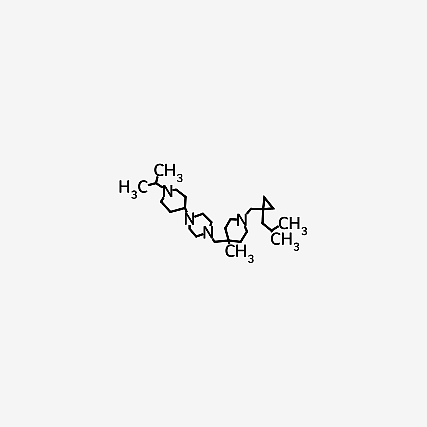 CC(C)CC1(CN2CCC(C)(CN3CCN(C4CCN(C(C)C)CC4)CC3)CC2)CC1